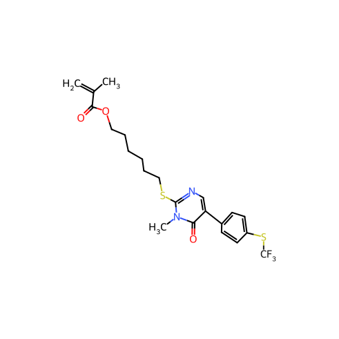 C=C(C)C(=O)OCCCCCCSc1ncc(-c2ccc(SC(F)(F)F)cc2)c(=O)n1C